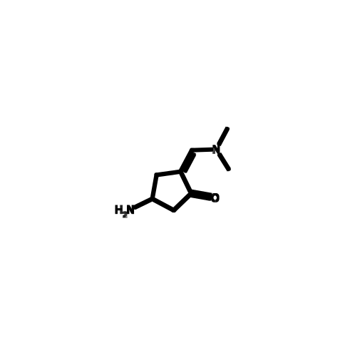 CN(C)/C=C1/CC(N)CC1=O